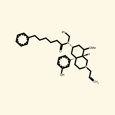 C=CCN1CC[C@@]2(c3cccc(O)c3)C[C@H](N(CC(C)C)C(=O)CCCCCc3ccccc3)CC(OC)[C@@H]2C1